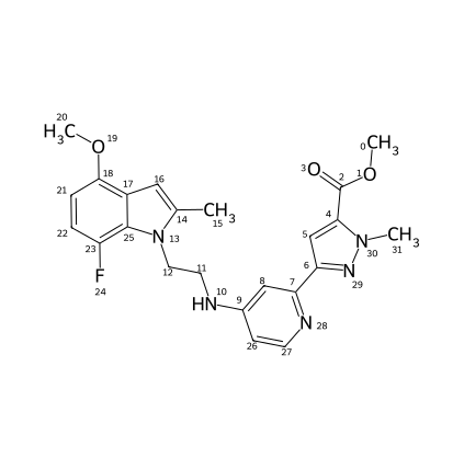 COC(=O)c1cc(-c2cc(NCCn3c(C)cc4c(OC)ccc(F)c43)ccn2)nn1C